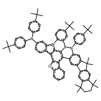 CC(C)(C)c1ccc(N2B3c4cc(C(C)(C)C)ccc4-n4c5cc(N(c6ccc(C(C)(C)C)cc6)c6ccc(C(C)(C)C)cc6)ccc5c5c6oc7ccccc7c6c(c3c54)-c3cc4c(cc32)C(C)(C)c2cc3c(cc2-4)C(C)(C)CCC3(C)C)cc1